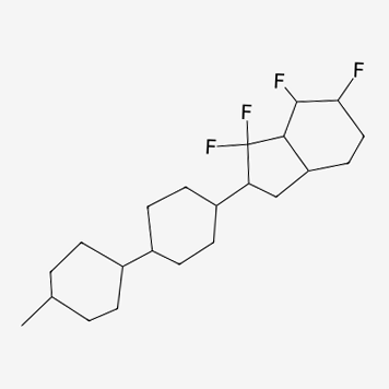 CC1CCC(C2CCC(C3CC4CCC(F)C(F)C4C3(F)F)CC2)CC1